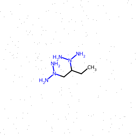 CCC(CN(N)N)N(N)N